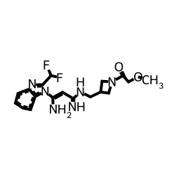 COCC(=O)N1CC(CNC(=N)/C=C(\N)n2c(C(F)F)nc3ccccc32)C1